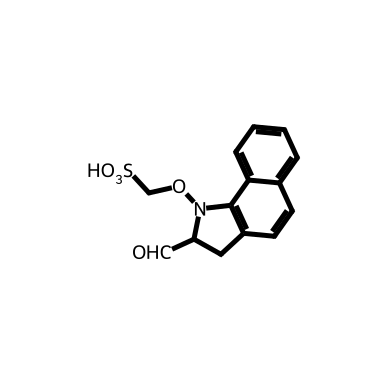 O=CC1Cc2ccc3ccccc3c2N1OCS(=O)(=O)O